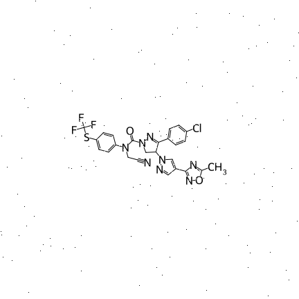 Cc1nc(-c2cnn(C3CN(C(=O)N(CC#N)c4ccc(SC(F)(F)F)cc4)N=C3c3ccc(Cl)cc3)c2)no1